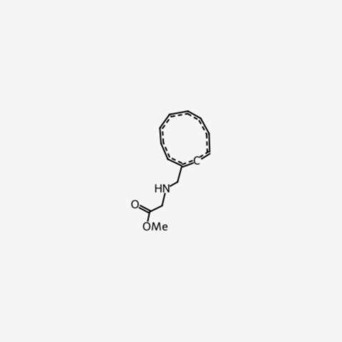 COC(=O)CNCc1ccccccccc1